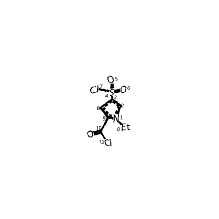 CCn1cc(S(=O)(=O)Cl)cc1C(=O)Cl